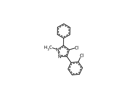 Cn1nc(-c2ccccc2Cl)c(Cl)c1-c1ccccc1